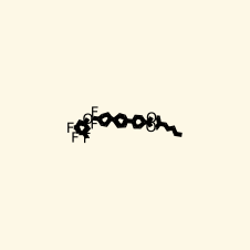 CCCCCC1COC(C2CCC(c3ccc(C4CCC(C(F)(F)Oc5cc(F)c(F)c(F)c5)CC4)cc3)CC2)OC1